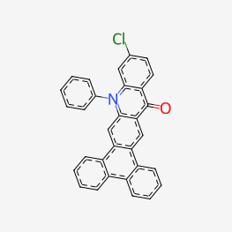 O=c1c2ccc(Cl)cc2n(-c2ccccc2)c2cc3c4ccccc4c4ccccc4c3cc12